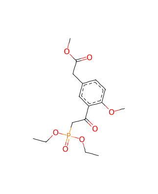 CCOP(=O)(CC(=O)c1cc(CC(=O)OC)ccc1OC)OCC